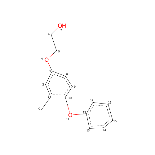 Cc1cc(OCCO)ccc1Oc1ccccc1